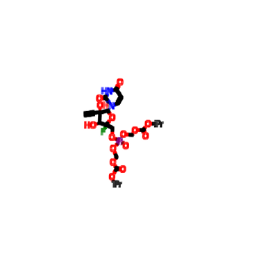 C#C[C@@]1(O)[C@H](O)C(F)(COP(=O)(OCOC(=O)OC(C)C)OCOC(=O)OC(C)C)O[C@H]1n1ccc(=O)[nH]c1=O